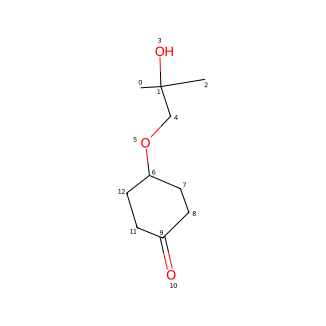 CC(C)(O)COC1CCC(=O)CC1